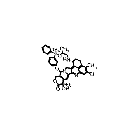 CC[C@@]1(O)C(=O)OCc2c1cc1n(c2=O)Cc2c-1nc1cc(Cl)c(C)c3c1c2[C@H](NC[C@H](C)O[Si](c1ccccc1)(c1ccccc1)C(C)(C)C)CC3